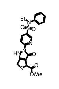 CCN(c1ccccc1)S(=O)(=O)c1ccc(-n2[nH]c3c(c2=O)C(C(=O)OC)SC3)nc1